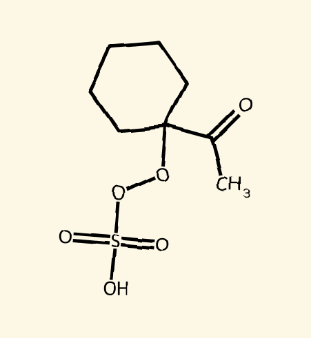 CC(=O)C1(OOS(=O)(=O)O)CCCCC1